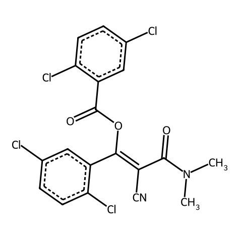 CN(C)C(=O)C(C#N)=C(OC(=O)c1cc(Cl)ccc1Cl)c1cc(Cl)ccc1Cl